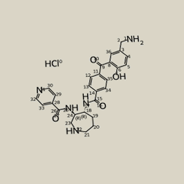 Cl.NCc1ccc(O)c(C(=O)c2ccc(C(=O)N[C@@H]3CCCNC[C@H]3NC(=O)c3ccncc3)cc2)c1